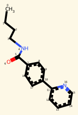 CCCCNC(=O)c1ccc(-c2ccccn2)cc1